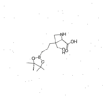 CC1(C)OB(CCCC2(CO)CNC2C(=O)O)OC1(C)C